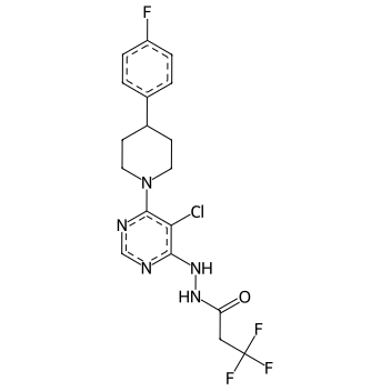 O=C(CC(F)(F)F)NNc1ncnc(N2CCC(c3ccc(F)cc3)CC2)c1Cl